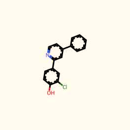 Oc1ccc(-c2cc(-c3ccccc3)ccn2)cc1Cl